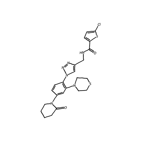 O=C(NCc1cn(-c2ccc(N3CCCCC3=O)cc2N2CCSCC2)nn1)c1ccc(Cl)s1